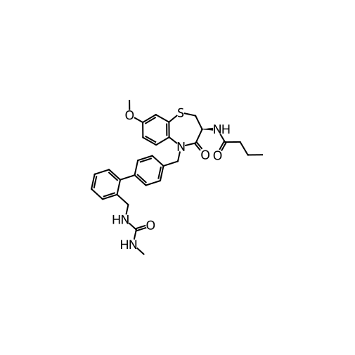 CCCC(=O)N[C@@H]1CSc2cc(OC)ccc2N(Cc2ccc(-c3ccccc3CNC(=O)NC)cc2)C1=O